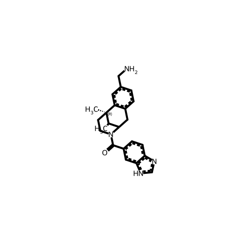 CC1C2Cc3ccc(CN)cc3[C@]1(C)CCN2C(=O)c1ccc2nc[nH]c2c1